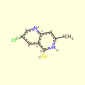 Cc1cc2ncc(Cl)cc2c(S)n1